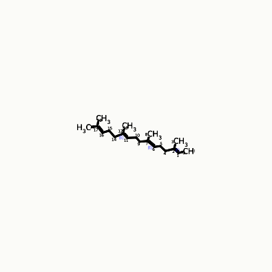 [CH]/C=C(\C)CC/C=C(\C)CC/C=C(\C)CCC=C(C)C